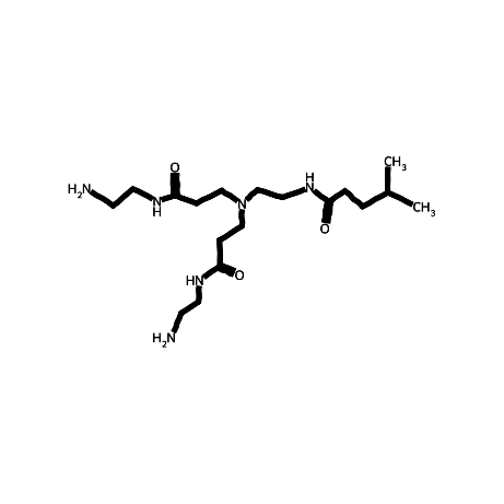 CC(C)CCC(=O)NCCN(CCC(=O)NCCN)CCC(=O)NCCN